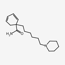 NC(=O)C1(CCCCCCN2CCCCC2)C=CC=CC1